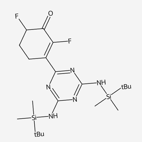 CC(C)(C)[Si](C)(C)Nc1nc(N[Si](C)(C)C(C)(C)C)nc(C2=C(F)C(=O)C(F)CC2)n1